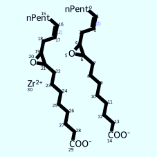 CCCCC/C=C\CC1OC1CCCCCCCC(=O)[O-].CCCCC/C=C\CC1OC1CCCCCCCC(=O)[O-].[Zr+2]